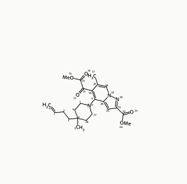 C=CCCC1(C)CCN(c2c(C(=O)C(=O)OC)c(C)cn3nc(C(=O)OC)cc23)CC1